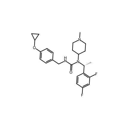 C[C@H](c1ccc(F)cc1F)N(C(=O)NCc1ccc(OC2CC2)cc1)C1CCN(C)CC1